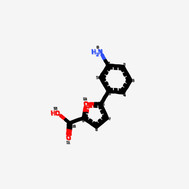 Nc1cccc(-c2ccc(C(=O)O)o2)c1